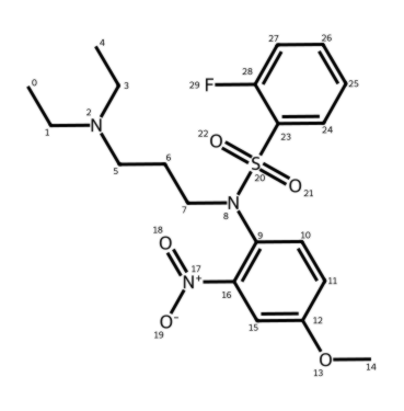 CCN(CC)CCCN(c1ccc(OC)cc1[N+](=O)[O-])S(=O)(=O)c1ccccc1F